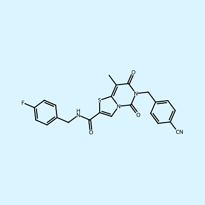 Cc1c(=O)n(Cc2ccc(C#N)cc2)c(=O)n2cc(C(=O)NCc3ccc(F)cc3)sc12